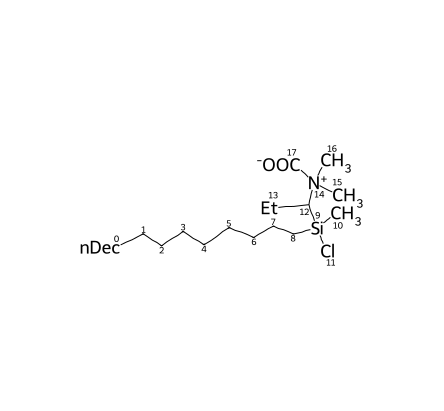 CCCCCCCCCCCCCCCCCC[Si](C)(Cl)C(CC)[N+](C)(C)C(=O)[O-]